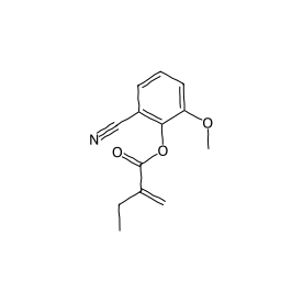 C=C(CC)C(=O)Oc1c(C#N)cccc1OC